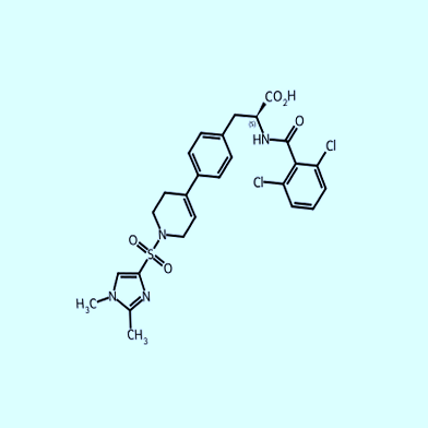 Cc1nc(S(=O)(=O)N2CC=C(c3ccc(C[C@H](NC(=O)c4c(Cl)cccc4Cl)C(=O)O)cc3)CC2)cn1C